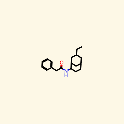 CCC1CC2CCC(NC(=O)Cc3ccccc3)C(C1)C2